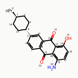 CCC[C@H]1CC[C@H](c2ccc3c(c2)C(=O)c2c(O)ccc(N)c2C3=O)CC1